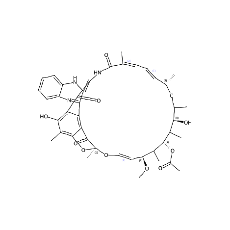 CO[C@H]1/C=C/O[C@@]2(C)Oc3c(C)c(O)c4c(=O)c(c5[nH]c6ccccc6nc-5c4c3C2=O)NC(=O)/C(C)=C\C=C\[C@H](C)CC(C)[C@@H](O)C(C)[C@H](OC(C)=O)C1C